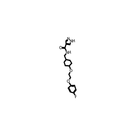 O=C(NCC1CCC(OCCOc2ccc(F)cc2)CC1)c1cn[nH]c1